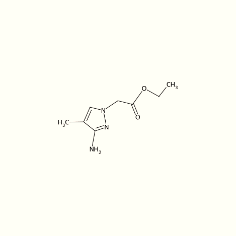 CCOC(=O)Cn1cc(C)c(N)n1